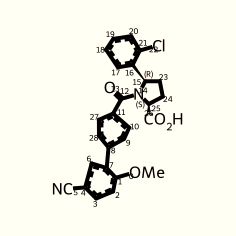 COc1ccc(C#N)cc1-c1ccc(C(=O)N2[C@@H](c3ccccc3Cl)CC[C@H]2C(=O)O)cc1